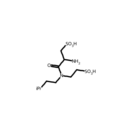 CC(C)CCN(CCS(=O)(=O)O)C(=O)C(N)CS(=O)(=O)O